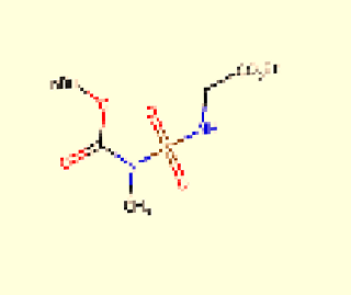 CCCCOC(=O)N(C)S(=O)(=O)NCC(=O)OCC